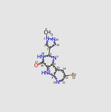 Cn1cc(-c2nc3c([nH]c4ncc(Br)cc43)c(=O)[nH]2)cn1